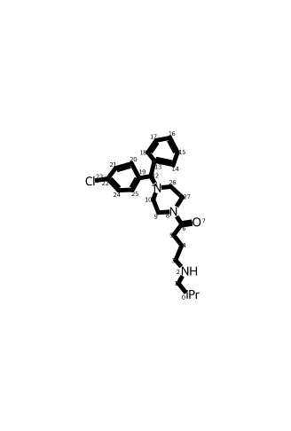 CC(C)CNCCCC(=O)N1CCN(C(c2ccccc2)c2ccc(Cl)cc2)CC1